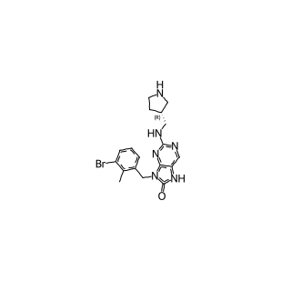 Cc1c(Br)cccc1Cn1c(=O)[nH]c2cnc(NC[C@@H]3CCNC3)nc21